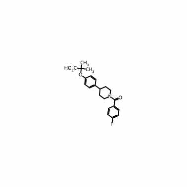 CC(C)(Oc1ccc(C2CCN(C(=O)c3ccc(F)cc3)CC2)cc1)C(=O)O